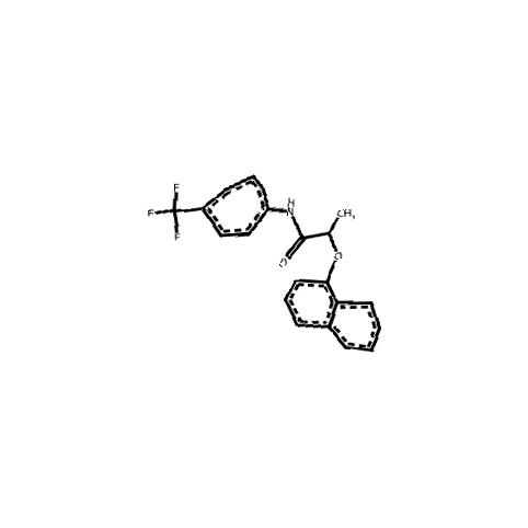 CC(Oc1cccc2ccccc12)C(=O)Nc1ccc(C(F)(F)F)cc1